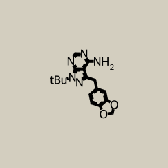 CC(C)(C)n1nc(Cc2ccc3c(c2)OCO3)c2c(N)ncnc21